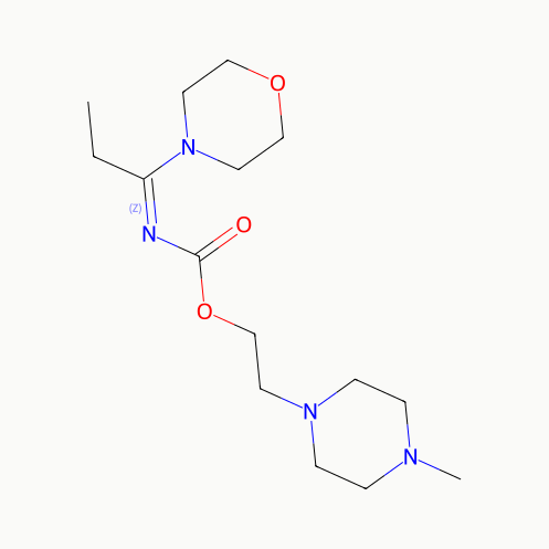 CC/C(=N/C(=O)OCCN1CCN(C)CC1)N1CCOCC1